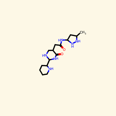 CC1CC(NC(=O)CC2CNC(C3CCCCN3)NC2=O)NN1